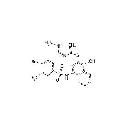 C=C(/N=C\NN)Sc1cc(NS(=O)(=O)c2ccc(Br)c(C(F)(F)F)c2)c2ccccc2c1O